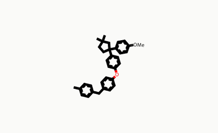 COc1ccc(C2(c3ccc(Oc4ccc(Cc5ccc(C)cc5)cc4)cc3)CCC(C)(C)C2)cc1